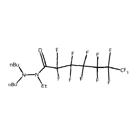 CCCCN(CCCC)N(CC)C(=O)C(F)(F)C(F)(F)C(F)(F)C(F)(F)C(F)(F)C(F)(F)F